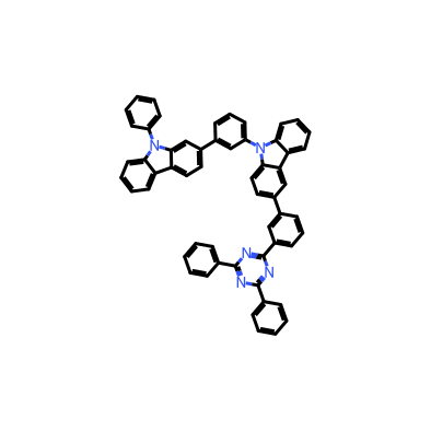 c1ccc(-c2nc(-c3ccccc3)nc(-c3cccc(-c4ccc5c(c4)c4ccccc4n5-c4cccc(-c5ccc6c7ccccc7n(-c7ccccc7)c6c5)c4)c3)n2)cc1